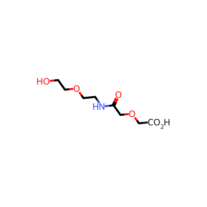 O=C(O)COCC(=O)NCCOCCO